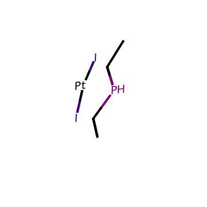 CCPCC.[I][Pt][I]